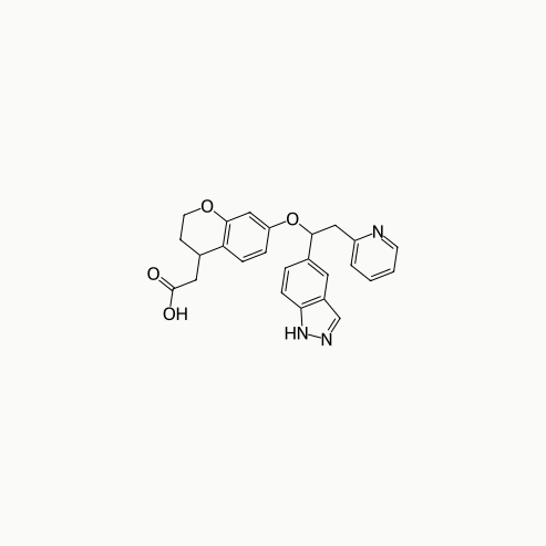 O=C(O)CC1CCOc2cc(OC(Cc3ccccn3)c3ccc4[nH]ncc4c3)ccc21